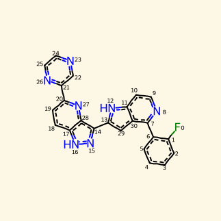 Fc1ccccc1-c1nccc2[nH]c(-c3n[nH]c4ccc(-c5cnccn5)nc34)cc12